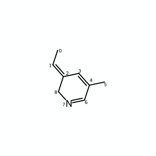 C/C=C1\C=C(C)C=NC1